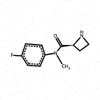 CN(C(=O)[C@@H]1CCN1)c1ccc(F)cc1